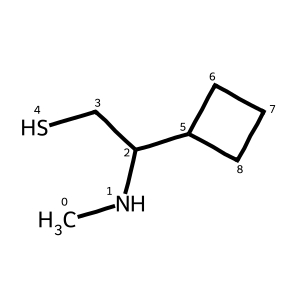 CNC(CS)C1CCC1